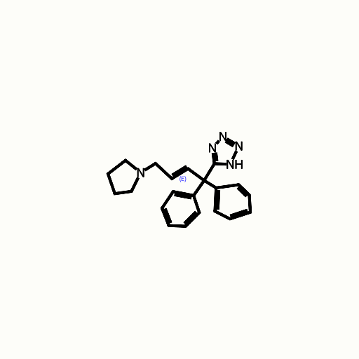 C(=C\C(c1ccccc1)(c1ccccc1)c1nnn[nH]1)/CN1CCCC1